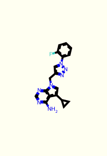 Nc1ncnc2c1c(C1CC1)cn2Cc1cn(-c2ccccc2F)nn1